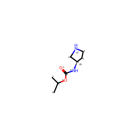 CC(C)OC(=O)N[C@@H]1CCNC1